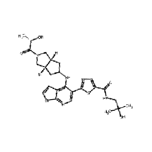 C[C@H](O)C(=O)N1C[C@H]2CC(Nc3c(-c4ncc(C(=O)NCC(C)(C)O)s4)cnc4[nH]ccc34)C[C@H]2C1